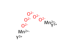 [Mn+2].[Mn+2].[O-2].[O-2].[O-2].[O-2].[O-2].[Y+3].[Y+3]